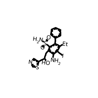 CCc1c(I)c(N)c(CC(O)c2cncs2)c(S(N)(=O)=O)c1-c1ccccc1